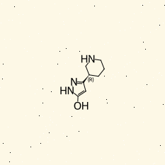 Oc1cc([C@@H]2CCCNC2)n[nH]1